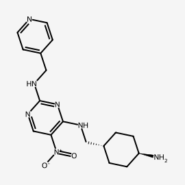 N[C@H]1CC[C@H](CNc2nc(NCc3ccncc3)ncc2[N+](=O)[O-])CC1